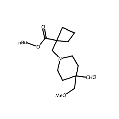 CCCCOC(=O)C1(CN2CCC(C=O)(COC)CC2)CCC1